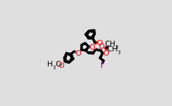 COc1ccc(CO[C@@H]2CCCC2/C=C\C(OC(=O)c2ccccc2)C2OC(C)(C)OC2CCI)cc1